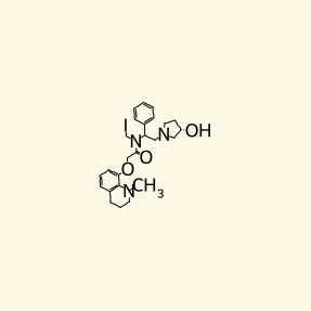 CN1CCCc2cccc(OCC(=O)N(CI)C(CN3CC[C@H](O)C3)c3ccccc3)c21